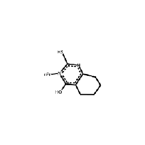 CCC[n+]1c(S)nc2c(c1O)CCCC2